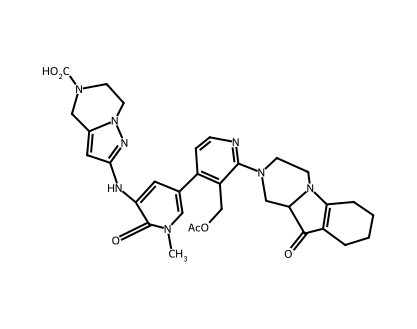 CC(=O)OCc1c(-c2cc(Nc3cc4n(n3)CCN(C(=O)O)C4)c(=O)n(C)c2)ccnc1N1CCN2C3=C(CCCC3)C(=O)C2C1